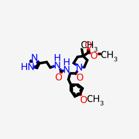 CCOC(=O)C1(CC)CCN(C(=O)C(Cc2ccc(OC)cc2)NC(=O)NCCc2c[nH]cn2)CC1